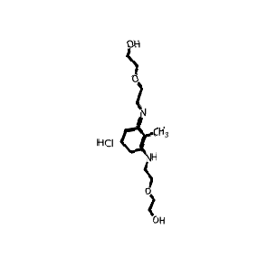 CC1=C(NCCOCCO)CCC/C1=N\CCOCCO.Cl